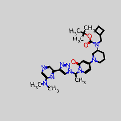 CC(n1cc(-c2cncc(N(C)C)n2)nn1)n1ccc(N2CCC[C@@H](N(CC3CCC3)C(=O)OC(C)(C)C)C2)cc1=O